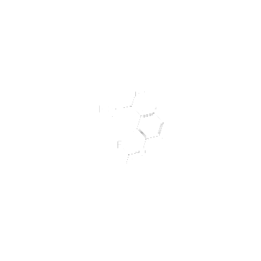 CC(C)C(C(=O)O)c1cccc(OC(F)F)c1